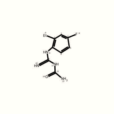 CCc1cc(F)ccc1NC(=N)NC(N)=O